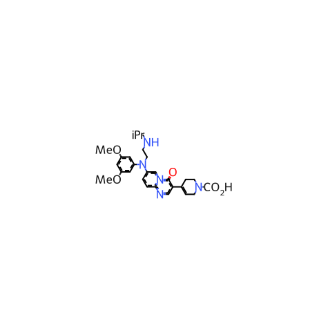 COc1cc(OC)cc(N(CCNC(C)C)c2ccc3ncc(C4=CCN(C(=O)O)CC4)c(=O)n3c2)c1